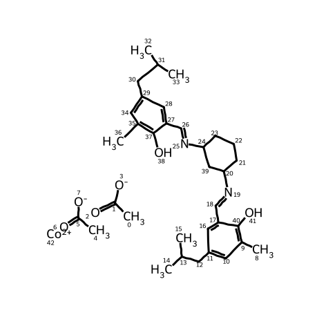 CC(=O)[O-].CC(=O)[O-].Cc1cc(CC(C)C)cc(C=NC2CCCC(N=Cc3cc(CC(C)C)cc(C)c3O)C2)c1O.[Co+2]